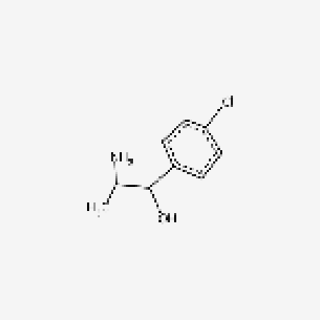 CC(N)C(O)c1ccc(Cl)cc1